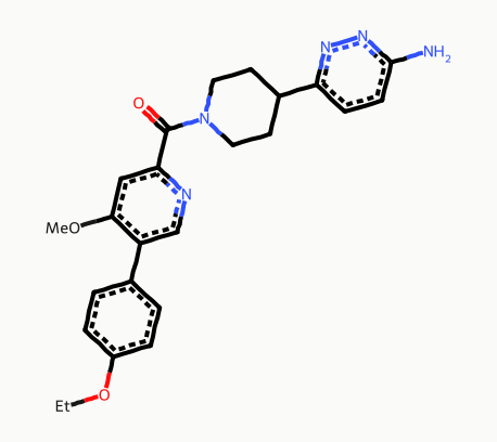 CCOc1ccc(-c2cnc(C(=O)N3CCC(c4ccc(N)nn4)CC3)cc2OC)cc1